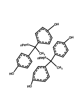 CCCCCC(C)(c1ccc(O)cc1)c1ccc(O)cc1.CCCCCCCC(C)(c1ccc(O)cc1)c1ccc(O)cc1